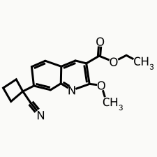 CCOC(=O)c1cc2ccc(C3(C#N)CCC3)cc2nc1OC